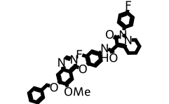 COc1cc2c(Oc3ccc(NC(=O)c4c5n(n(-c6ccc(F)cc6)c4=O)CCCC5)cc3F)ncnc2cc1OCc1ccccc1